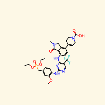 CCOP(=O)(Cc1ccc(Nc2ncc(C(F)(F)F)c(Nc3ccc(C4=CCN(C(=O)O)CC4)c4c3C(=O)N(C)C4)n2)c(OC)c1)OCC